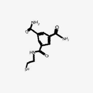 NC(=O)c1cc(C(N)=O)cc(C(=O)NCCS)c1